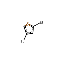 CCc1[c]c(CC)sc1